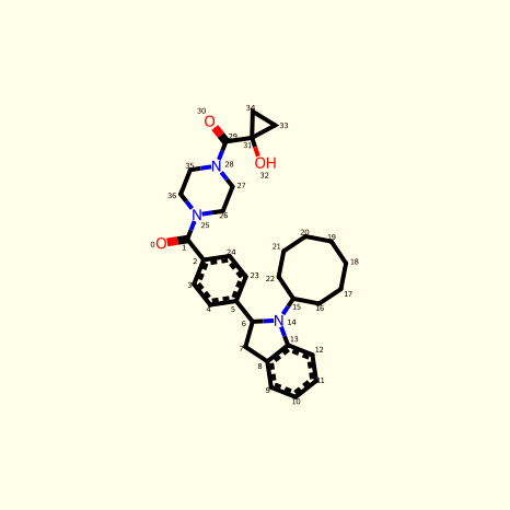 O=C(c1ccc(C2Cc3ccccc3N2C2CCCCCCC2)cc1)N1CCN(C(=O)C2(O)CC2)CC1